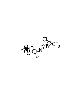 O=C(NS(=O)(=O)C1CC1)c1cc(C2CC2)c(CN2CCC(Oc3ncc(C(F)(F)F)cc3Cl)CC2)cc1F